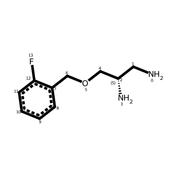 NC[C@H](N)COCc1ccccc1F